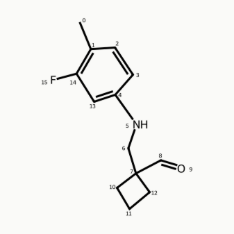 Cc1ccc(NCC2(C=O)CCC2)cc1F